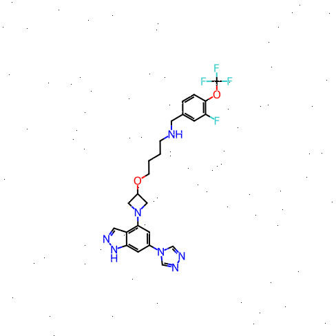 Fc1cc(CNCCCCOC2CN(c3cc(-n4cnnc4)cc4[nH]ncc34)C2)ccc1OC(F)(F)F